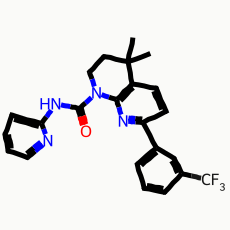 CC1(C)CCN(C(=O)Nc2ccccn2)c2nc(-c3cccc(C(F)(F)F)c3)ccc21